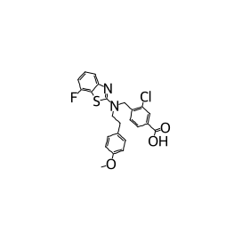 COc1ccc(CCN(Cc2ccc(C(=O)O)cc2Cl)c2nc3cccc(F)c3s2)cc1